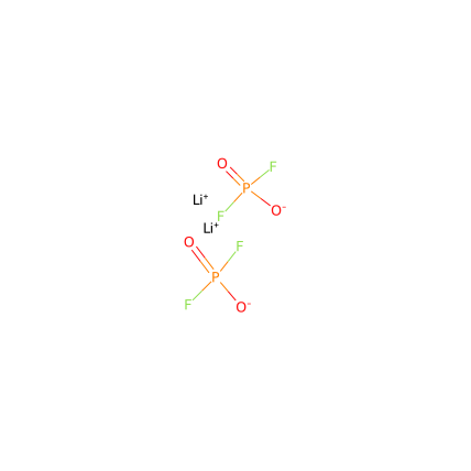 O=P([O-])(F)F.O=P([O-])(F)F.[Li+].[Li+]